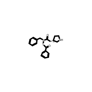 O=C(SN(Cc1ccccc1)C(=O)C[C@@H]1CCNC1)c1ccccc1